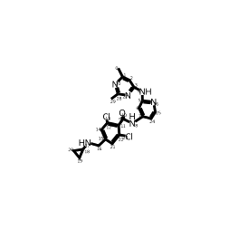 Cc1cc(Nc2cc(NC(=O)c3c(Cl)cc(CNC4CC4)cc3Cl)ccn2)nc(C)n1